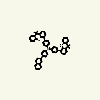 CC1(C)c2ccccc2Oc2c(-c3ccc(N(c4ccc(-c5ccc6ccccc6c5)cc4)c4ccc(-c5cccc6c5Oc5ccccc5C6(C)C)cc4)cc3)cccc21